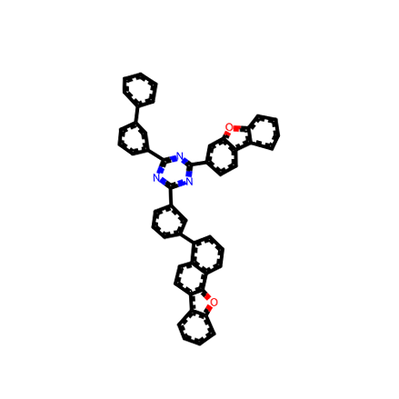 c1ccc(-c2cccc(-c3nc(-c4cccc(-c5cccc6c5ccc5c7ccccc7oc65)c4)nc(-c4ccc5c(c4)oc4ccccc45)n3)c2)cc1